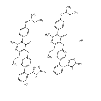 Br.CCCc1nc(C)n(-c2ccc(OC(C)CC)cc2)c(=O)c1Cc1ccc(-c2ccccc2-c2noc(=O)[nH]2)cc1.CCCc1nc(C)n(-c2ccc(OC(C)CC)cc2)c(=O)c1Cc1ccc(-c2ccccc2-c2noc(=O)[nH]2)cc1.Cl